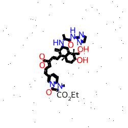 C=C1C(NC(C)C(=O)NC2=NCC=N2)CC2[C@](C)(CC[C@@H](O)[C@@]2(C)CO)C1/C=C/C1=CC(=C\C2=CN3C(=O)C(C(=O)OCC)N(C)C3C=C2)/OC1=O